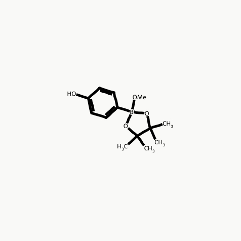 CO[B-]1(c2ccc(O)cc2)OC(C)(C)C(C)(C)O1